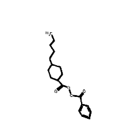 CCCCCC1CCC(C(=O)OOC(=O)c2ccccc2)CC1